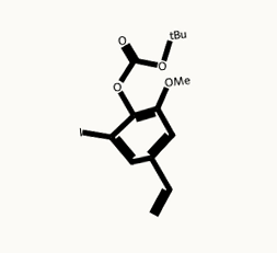 C=Cc1cc(I)c(OC(=O)OC(C)(C)C)c(OC)c1